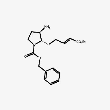 CCOC(=O)C=CCC[C@H]1[C@H](N)CCN1C(=O)OCc1ccccc1